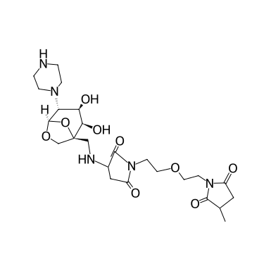 CC1CC(=O)N(CCOCCN2C(=O)CC(NC[C@@]34CO[C@H](O3)[C@H](N3CCNCC3)[C@@H](O)[C@H]4O)C2=O)C1=O